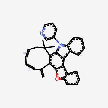 C=C1/C=C\C=C/CC(C)(C)c2c1c1oc3ccccc3c1c1c3ccccc3n(-c3cccnc3)c21